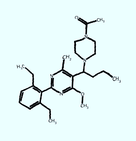 CCCC(c1c(C)nc(-c2c(CC)cccc2CC)nc1OC)N1CCN(C(C)=O)CC1